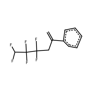 C=C(CC(F)(F)C(F)(F)C(F)F)c1ccccc1